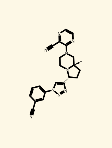 N#Cc1cccc(-n2cc([C@H]3CC[C@H]4CN(c5nccnc5C#N)CCN43)nn2)c1